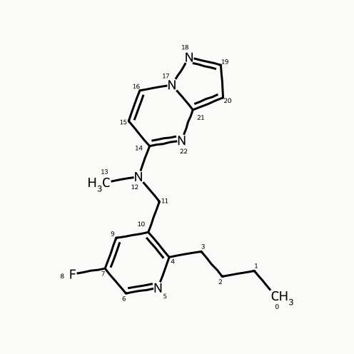 CCCCc1ncc(F)cc1CN(C)c1ccn2nccc2n1